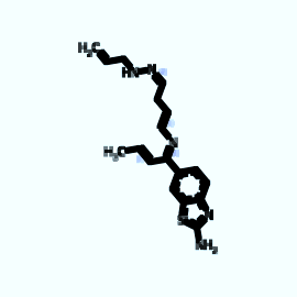 C=CCN/N=C\C/C=C/N=C(\C=C\C)c1ccc2nc(N)sc2c1